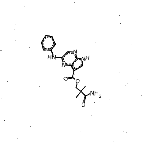 CC(C)(COC(=O)c1c[nH]c2ncc(Nc3ccccc3)nc12)C(N)=O